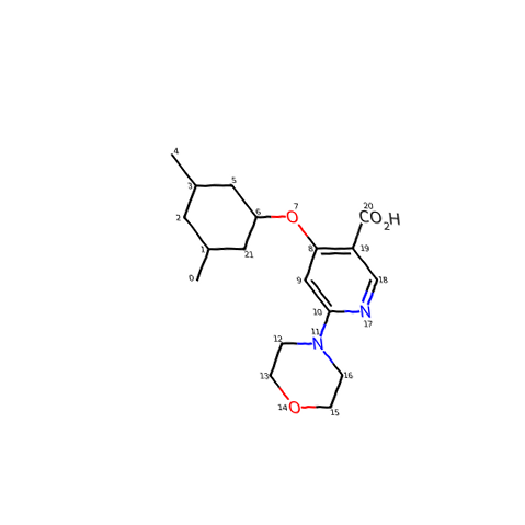 CC1CC(C)CC(Oc2cc(N3CCOCC3)ncc2C(=O)O)C1